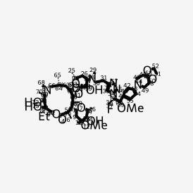 CC[C@H]1OC(=O)[C@H](C)[C@@H](C2C[C@@](C)(OC)[C@@H](O)[C@H](C)O2)[C@H](C)[C@@H](O[C@@H]2O[C@H](C)C[C@H](N(C)CCc3cn([C@H](CF)[C@H](OC)c4ccc(N5CCC6(CC5)OCCO6)cc4)nn3)[C@H]2O)[C@](C)(O)C[C@@H](C)CN(C)[C@H](C)[C@@H](O)[C@]1(C)O